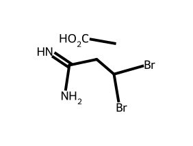 CC(=O)O.N=C(N)CC(Br)Br